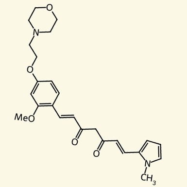 COc1cc(OCCN2CCOCC2)ccc1C=CC(=O)CC(=O)C=Cc1cccn1C